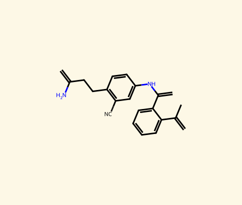 C=C(N)CCc1ccc(NC(=C)c2ccccc2C(=C)C)cc1C#N